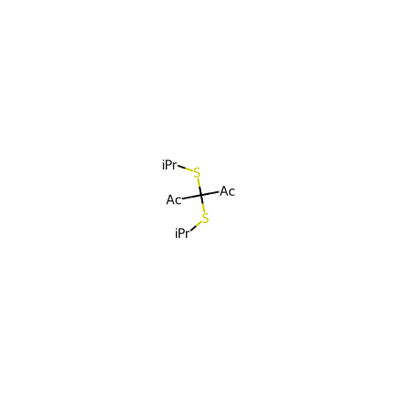 CC(=O)C(SC(C)C)(SC(C)C)C(C)=O